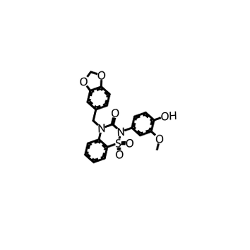 COc1cc(N2C(=O)N(Cc3ccc4c(c3)OCO4)c3ccccc3S2(=O)=O)ccc1O